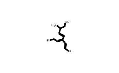 CCC(C)C=CC(C=CC(C)CC(C)(C)C)=CCC(C)C